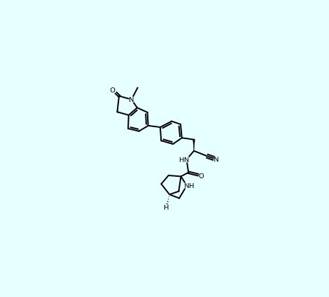 CN1C(=O)Cc2ccc(-c3ccc(C[C@@H](C#N)NC(=O)C45CC[C@H](CN4)C5)cc3)cc21